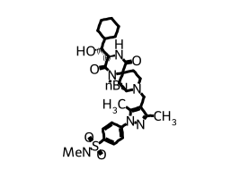 CCCCN1C(=O)[C@@H]([C@H](O)C2CCCCC2)NC(=O)C12CCN(Cc1c(C)nn(-c3ccc(S(=O)(=O)NC)cc3)c1C)CC2